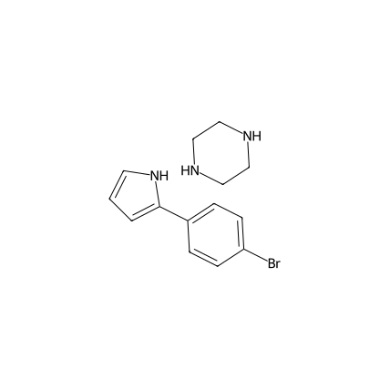 Brc1ccc(-c2ccc[nH]2)cc1.C1CNCCN1